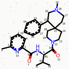 Cc1cccc(C(=O)N[C@@H](C(=O)N2CCC3(CCN(C)CC3c3ccccc3)CC2)C(C)C)n1